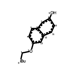 CCC(C)COc1ccc2cc(O)ccc2c1